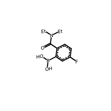 CCN(CC)C(=O)c1ccc(F)cc1B(O)O